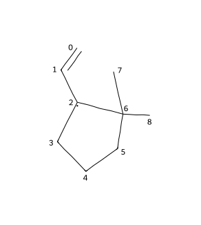 C=C[C]1CCCC1(C)C